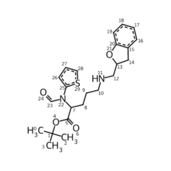 CC(C)(C)OC(=O)C(CCCNCC1Cc2ccccc2O1)N(C=O)c1cccs1